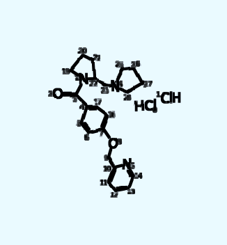 Cl.Cl.O=C(c1ccc(OCc2ccccn2)cc1)N1CCC[C@H]1CN1CCCC1